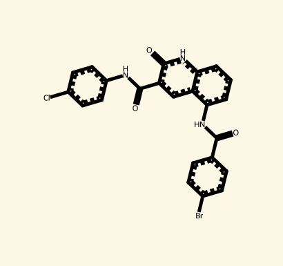 O=C(Nc1cccc2[nH]c(=O)c(C(=O)Nc3ccc(Cl)cc3)cc12)c1ccc(Br)cc1